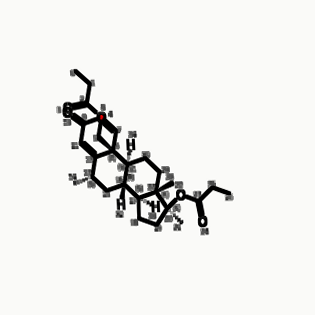 CCC(=O)OC[C@]12C=CC(=O)C=C1[C@@H](C)C[C@H]1[C@@H]3CC[C@](C)(OC(=O)CC)[C@@]3(C)CC[C@@H]12